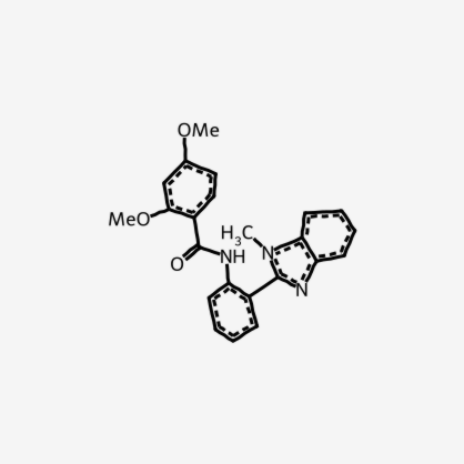 COc1ccc(C(=O)Nc2ccccc2-c2nc3ccccc3n2C)c(OC)c1